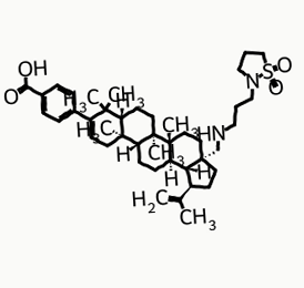 C=C(C)[C@@H]1CC[C@]2(CNCCCN3CCCS3(=O)=O)CC[C@]3(C)[C@H](CC[C@@H]4[C@@]5(C)CC=C(c6ccc(C(=O)O)cc6)C(C)(C)[C@@H]5CC[C@]43C)[C@@H]12